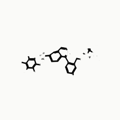 CC(C)(C)[Si](C)(C)OCc1cc(Cl)ccc1-c1nccc2cc(S(=O)(=O)Oc3c(F)c(F)c(F)c(F)c3F)ccc12